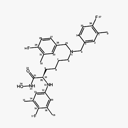 Cc1cc(CN(CCCC[C@@H](Nc2cc(C)c(F)c(C)c2)C(=O)NO)Cc2ccc(F)c(C)c2)ccc1F